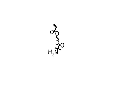 C=CC(=O)OCCOC(=O)C(C)(C)N